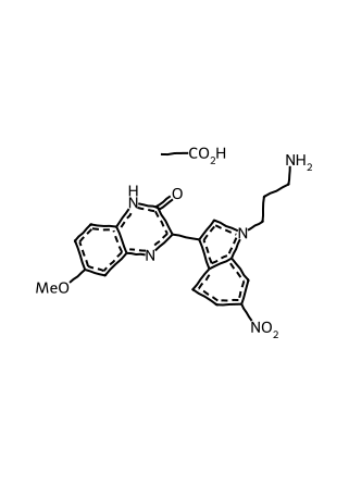 CC(=O)O.COc1ccc2[nH]c(=O)c(-c3cn(CCCN)c4cc([N+](=O)[O-])ccc34)nc2c1